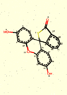 O=C1SC2(c3ccc(O)cc3Oc3cc(O)ccc32)c2ccccc21